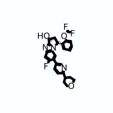 O[C@@H]1C[C@H](c2ccccc2OC(F)F)n2c1nc1cc(F)c(-c3ccc(C4CCOCC4)nc3)cc12